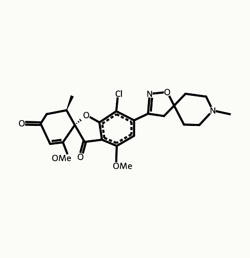 COC1=CC(=O)C[C@@H](C)[C@]12Oc1c(Cl)c(C3=NOC4(CCN(C)CC4)C3)cc(OC)c1C2=O